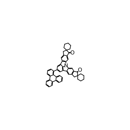 O=C1c2cc3c(cc2CC12CCCCC2)c1cc(-c2cccc4c5ccccc5c5ccccc5c24)cc2c4cc5c(cc4n3c12)C(=O)C1(CCCCC1)C5